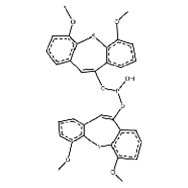 COc1cccc2c1Sc1c(OC)cccc1C(OP(O)OC1=Cc3cccc(OC)c3Sc3c(OC)cccc31)=C2